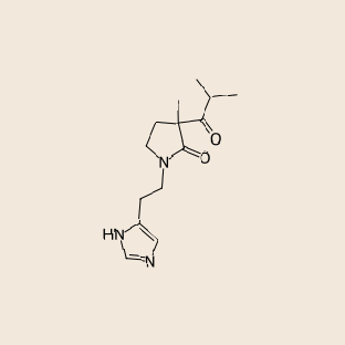 CC(C)C(=O)C1(C)CCN(CCc2cnc[nH]2)C1=O